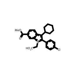 COC(=O)c1ccc2c(C3CCCCC3)c(-c3ccc(Cl)cc3)n(CC(=O)O)c2c1